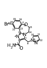 NC(=O)c1nc2n(c1Cn1cccn1)CCOc1ccc(Br)cc1-2